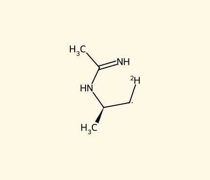 [2H][CH][C@@H](C)NC(C)=N